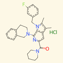 Cc1c(C)n(Cc2cccc(F)c2)c2c(N3CCc4ccccc4C3)nc(C(=O)N3CCCCC3)cc12.Cl